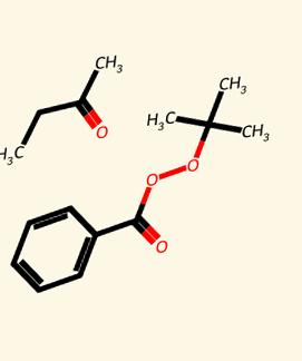 CC(C)(C)OOC(=O)c1ccccc1.CCC(C)=O